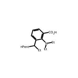 CCCCCC(CC)c1cccc(C(=O)O)c1N(CC)CC